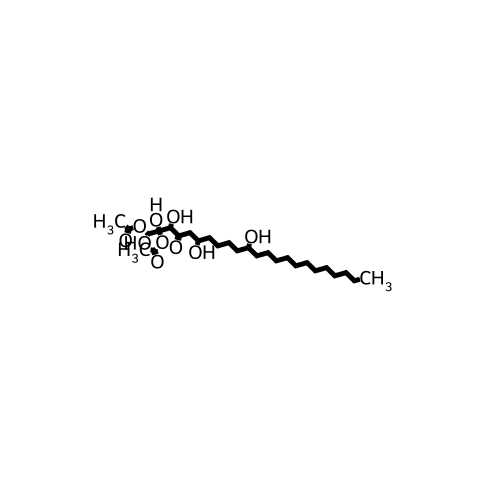 CCCCCCCCCCCCC(O)CCCCC(O)CC(=O)C(O)C(O)(OC(C)=O)C(O)OC(C)=O